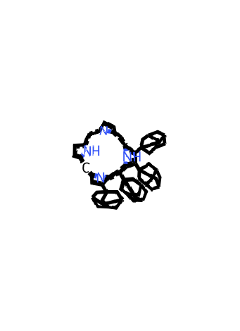 C1=Cc2cc3[nH]c(c(C45CC6CC(CC(C6)C4)C5)c4nc(cc5ccc(cc1n2)[nH]5)C=C4C12CC4CC(CC(C4)C1)C2)c(C12CC4CC(CC(C4)C1)C2)c3C12CC3CC(CC(C3)C1)C2